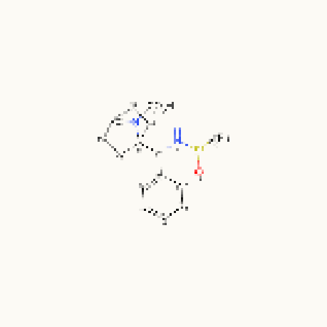 CC(C)(C)[S@@+]([O-])N[C@H](c1ccccc1)C12CCC(CC1)N2C(=O)O